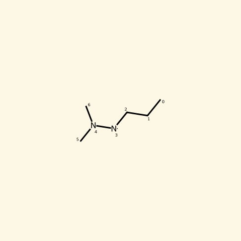 CCC[N]N(C)C